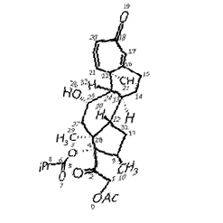 CC(=O)OCC(=O)[C@]1(OC(=O)C(C)C)[C@H](C)C[C@H]2[C@@H]3CCC4=CC(=O)C=C[C@]4(C)[C@H]3[C@@H](O)C[C@@]21C